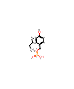 CCCC.O=[PH](O)OCc1ccc(O)cc1